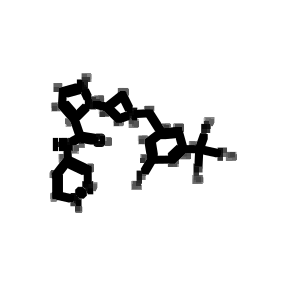 O=C(Nc1ccnnc1)c1ccnn1C1CN(Cc2cc(F)cc(C(F)(F)F)c2)C1